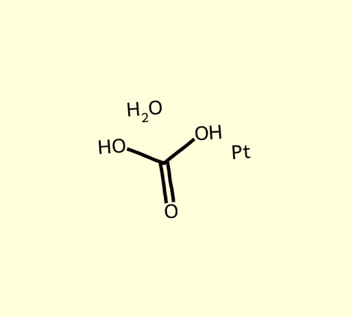 O.O=C(O)O.[Pt]